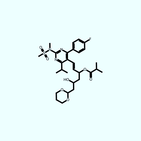 CC(C)C(=O)OC(/C=C/c1c(-c2ccc(F)cc2)nc(N(C)S(C)(=O)=O)nc1C(C)C)CC(O)CC1OCCCO1